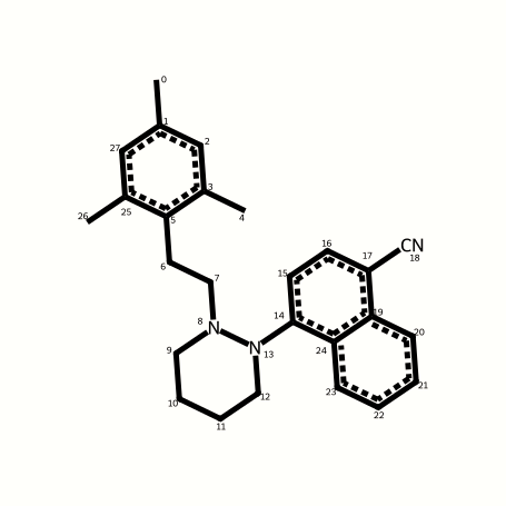 Cc1cc(C)c(CCN2CCCCN2c2ccc(C#N)c3ccccc23)c(C)c1